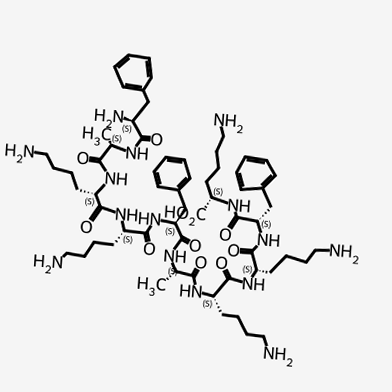 C[C@H](NC(=O)[C@H](Cc1ccccc1)NC(=O)[C@H](CCCCN)NC(=O)[C@H](CCCCN)NC(=O)[C@H](C)NC(=O)[C@@H](N)Cc1ccccc1)C(=O)N[C@@H](CCCCN)C(=O)N[C@@H](CCCCN)C(=O)N[C@@H](Cc1ccccc1)C(=O)N[C@@H](CCCCN)C(=O)O